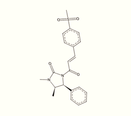 C[C@@H]1[C@H](c2ccccc2)N(C(=O)/C=C/c2ccc(S(C)(=O)=O)cc2)C(=O)N1C